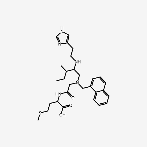 CCC(C)C(CN(CC(=O)NC(CCSC)C(=O)O)Cc1cccc2ccccc12)NCCc1c[nH]cn1